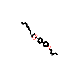 CC/C=C\CCCCC[C@H]1CO[C@H](c2ccc(-c3ccc(OCCC[C@@H](C)CC)cc3)cc2)OC1